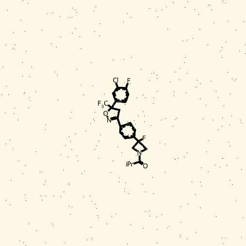 CC(C)C(=O)N1CC(F)(c2ccc(C3=NOC(c4ccc(F)c(Cl)c4)(C(F)(F)F)C3)cc2)C1